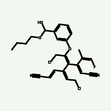 CCCCOC(O)c1cccc(O/C(CCl)=C(C(=C\CCl)/C=C/C#N)\C(=C\C#N)C(\C)=C/F)c1